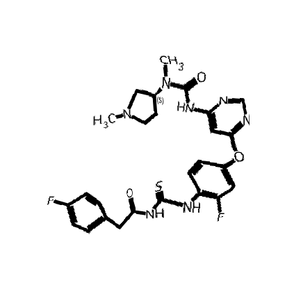 CN1CC[C@H](N(C)C(=O)Nc2cc(Oc3ccc(NC(=S)NC(=O)Cc4ccc(F)cc4)c(F)c3)ncn2)C1